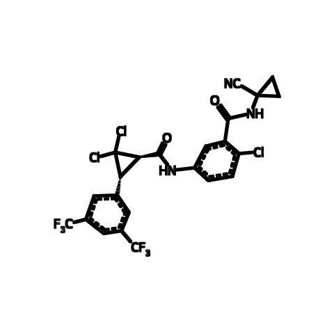 N#CC1(NC(=O)c2cc(NC(=O)[C@H]3[C@H](c4cc(C(F)(F)F)cc(C(F)(F)F)c4)C3(Cl)Cl)ccc2Cl)CC1